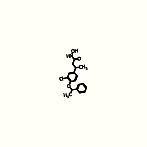 CC(CC(=O)NO)c1ccc(OC(C)c2ccccc2)c(Cl)c1